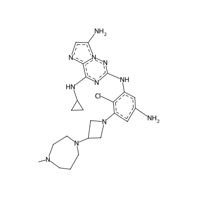 CN1CCCN(C2CN(c3cc(N)cc(Nc4nc(NC5CC5)c5ncc(N)n5n4)c3Cl)C2)CC1